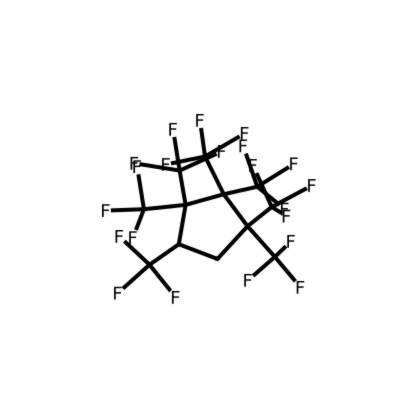 FC(F)(F)C1CC(C(F)(F)F)(C(F)(F)F)C(C(F)(F)F)(C(F)(F)F)C1(C(F)(F)F)C(F)(F)F